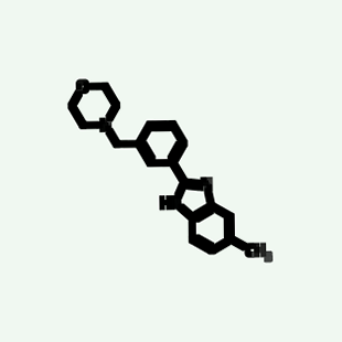 Cc1ccc2[nH]c(-c3cccc(CN4CCOCC4)c3)nc2c1